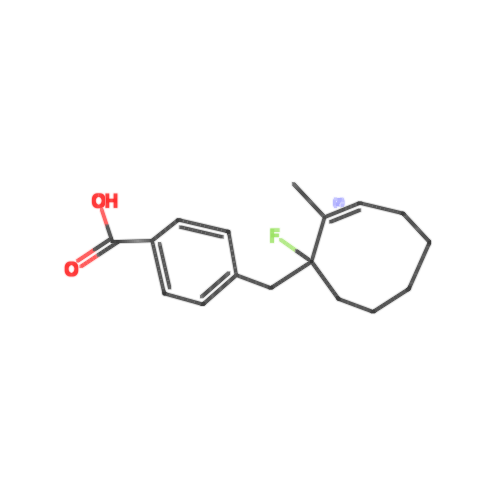 C/C1=C/CCCCCC1(F)Cc1ccc(C(=O)O)cc1